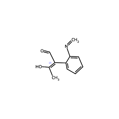 C=Nc1ccccc1/C(C=O)=C(\C)O